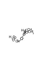 COC(=O)[C@H]1CCN(Cc2ccc(C3CN(C(=O)OC(C)(C)C)C3)cc2)C1